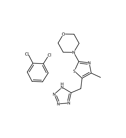 Cc1nc(N2CCOCC2)sc1Cc1nnn[nH]1.Clc1ccccc1Cl